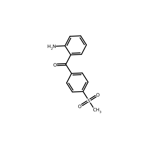 CS(=O)(=O)c1ccc(C(=O)c2ccccc2N)cc1